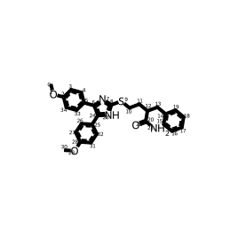 COc1ccc(-c2nc(SCCC(Cc3ccccc3)C(N)=O)[nH]c2-c2ccc(OC)cc2)cc1